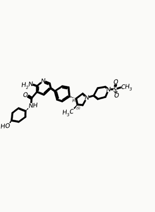 C[C@@H]1CN(C2CCN(S(C)(=O)=O)CC2)C[C@H]1c1ccc(-c2cnc(N)c(C(=O)N[C@H]3CC[C@H](O)CC3)c2)cc1